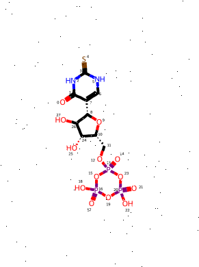 O=c1[nH]c(=S)[nH]cc1[C@@H]1O[C@H](COP2(=O)OP(=O)(O)OP(=O)(O)O2)[C@H](O)C1O